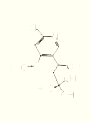 COc1cc(Cl)ncc1C(O)CC(C)(C)O